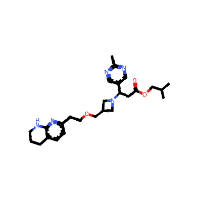 Cc1ncc(C(CC(=O)OCC(C)C)N2CC(COCCc3ccc4c(n3)NCCC4)C2)cn1